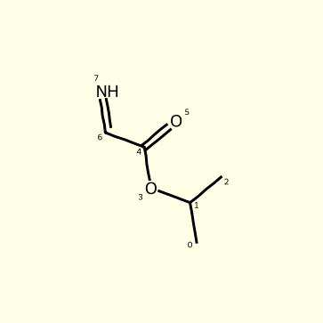 CC(C)OC(=O)C=N